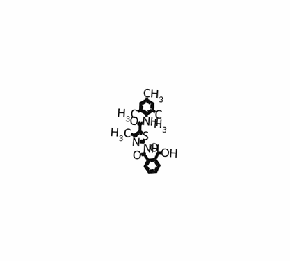 Cc1cc(C)c(NC(=O)c2sc(NC(=O)c3ccccc3C(=O)O)nc2C)c(C)c1